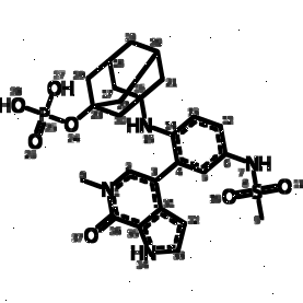 Cn1cc(-c2cc(NS(C)(=O)=O)ccc2NC23CC4CC(C2)CC(OP(=O)(O)O)(C4)C3)c2cc[nH]c2c1=O